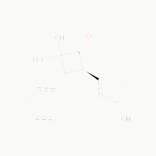 Cc1csc([C@@H]2C(=O)C(C)(C)[C@H]2c2ccccc2)c1